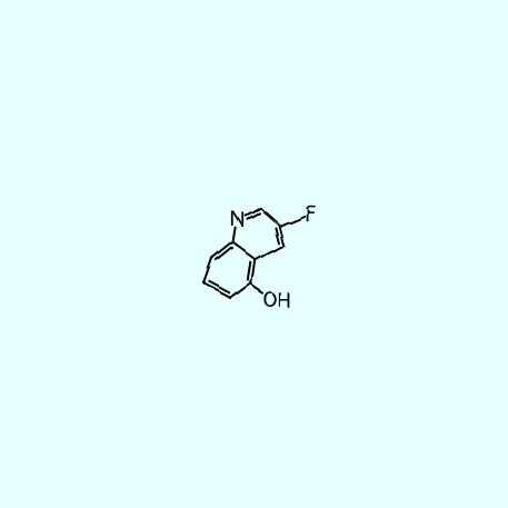 Oc1cccc2ncc(F)cc12